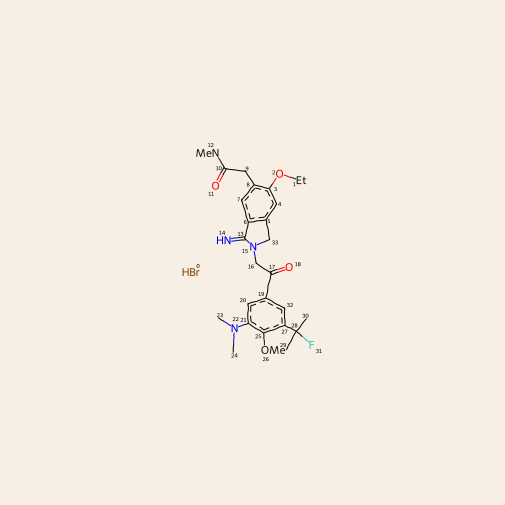 Br.CCOc1cc2c(cc1CC(=O)NC)C(=N)N(CC(=O)c1cc(N(C)C)c(OC)c(C(C)(C)F)c1)C2